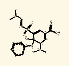 CN(C)C=NS(=O)(=O)C1=CC(C(=O)O)=CC(N(C)C)C1(Cl)Oc1ccccc1